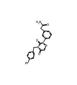 CC(C)c1ccc(Cn2c(=O)cnn(-c3cccc(CC(N)=O)c3)c2=O)cc1